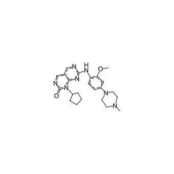 COc1cc(N2CCN(C)CC2)ccc1Nc1ncc2cnc(=O)n(C3CCCC3)c2n1